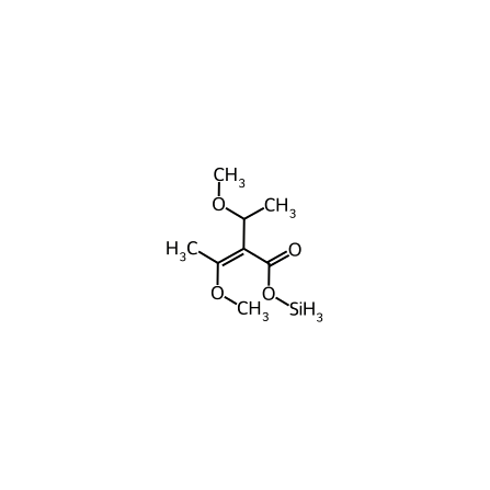 COC(C)=C(C(=O)O[SiH3])C(C)OC